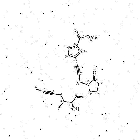 CC#CC[C@H](C)[C@H](O)C=C[C@H]1CCC(=O)N1CC#Cc1ccc(C(=O)OC)s1